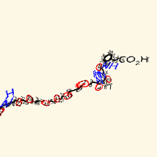 CC(C)C(NC(=O)CCOCCOCCOCCOCCOCCOCCNC(=O)CBr)C(=O)NCC(=O)Nc1ccccc1CCC(=O)O